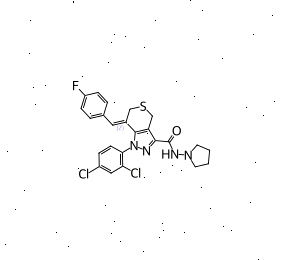 O=C(NN1CCCC1)c1nn(-c2ccc(Cl)cc2Cl)c2c1CSC/C2=C\c1ccc(F)cc1